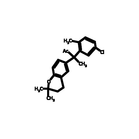 CC(=O)C(C)(c1ccc2c(c1)CCC(C)(C)O2)c1cc(Cl)ccc1C